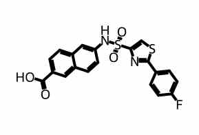 O=C(O)c1ccc2cc(NS(=O)(=O)c3csc(-c4ccc(F)cc4)n3)ccc2c1